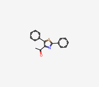 CC(=O)c1nc(-c2ccccc2)sc1-c1ccccc1